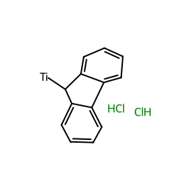 Cl.Cl.[Ti][CH]1c2ccccc2-c2ccccc21